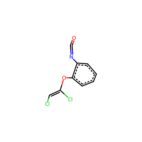 O=C=Nc1ccccc1OC(Cl)=CCl